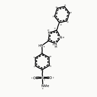 CNS(=O)(=O)c1ccc(Nc2nc(-c3ccccc3)n[nH]2)cc1